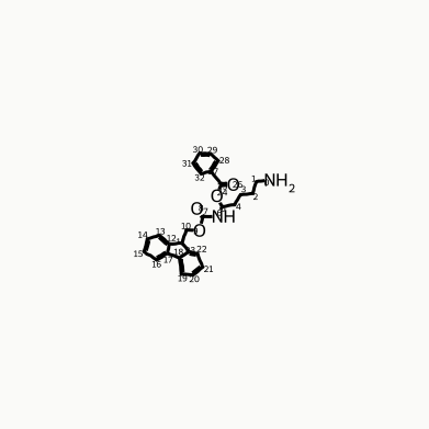 NCCCCC(NC(=O)OCC1c2ccccc2-c2ccccc21)OC(=O)c1ccccc1